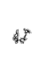 CS(=O)(=NC(=O)c1cncc(C#Cc2cccc(F)c2)c1)c1ccc(Cl)cc1